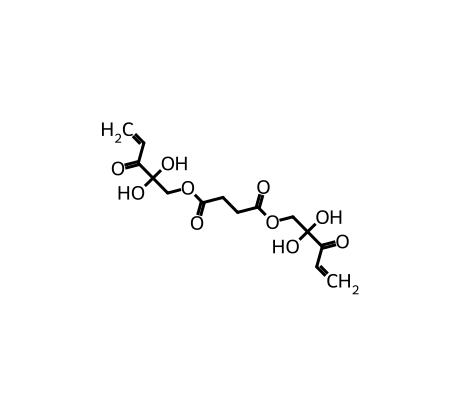 C=CC(=O)C(O)(O)COC(=O)CCC(=O)OCC(O)(O)C(=O)C=C